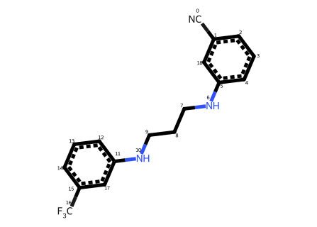 N#Cc1cccc(NCCCNc2cccc(C(F)(F)F)c2)c1